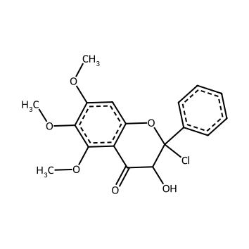 COc1cc2c(c(OC)c1OC)C(=O)C(O)C(Cl)(c1ccccc1)O2